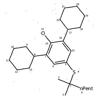 CCCCCC(C)(C)Sc1cc(C2CCCCC2)c([O])c(C2CCCCC2)c1